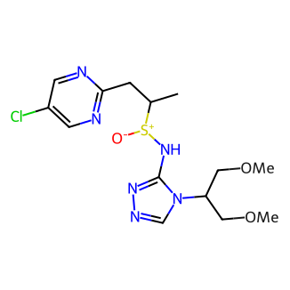 COCC(COC)n1cnnc1N[S+]([O-])C(C)Cc1ncc(Cl)cn1